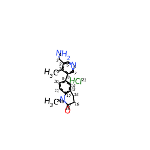 Cc1c(CN)cncc1-c1ccc2c(c1)CCC(=O)N2C.Cl